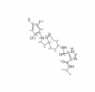 CC(C)NC(=O)c1nc[nH]c1C(=O)N[C@H]1CC[C@@]2(CCN(c3cc(F)c(F)cc3Cl)C2=O)CC1